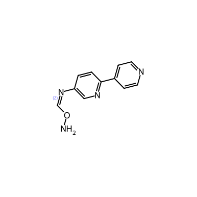 NO/C=N\c1ccc(-c2ccncc2)nc1